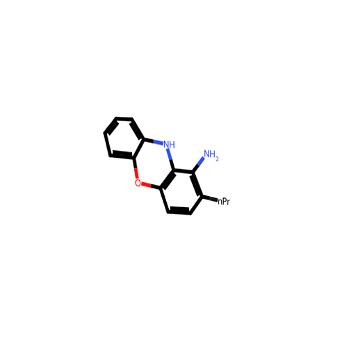 CCCc1ccc2c(c1N)Nc1ccccc1O2